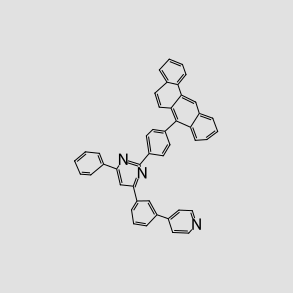 c1ccc(-c2cc(-c3cccc(-c4ccncc4)c3)nc(-c3ccc(-c4c5ccccc5cc5c4ccc4ccccc45)cc3)n2)cc1